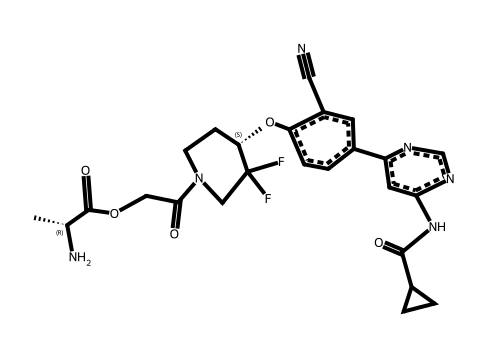 C[C@@H](N)C(=O)OCC(=O)N1CC[C@H](Oc2ccc(-c3cc(NC(=O)C4CC4)ncn3)cc2C#N)C(F)(F)C1